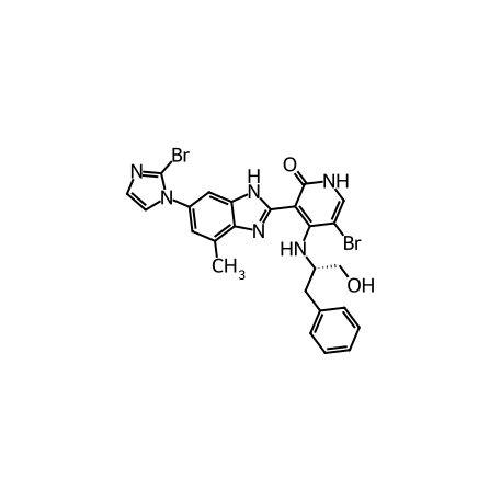 Cc1cc(-n2ccnc2Br)cc2[nH]c(-c3c(N[C@H](CO)Cc4ccccc4)c(Br)c[nH]c3=O)nc12